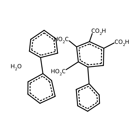 O.O=C(O)c1cc(-c2ccccc2)c(C(=O)O)c(C(=O)O)c1C(=O)O.c1ccc(-c2ccccc2)cc1